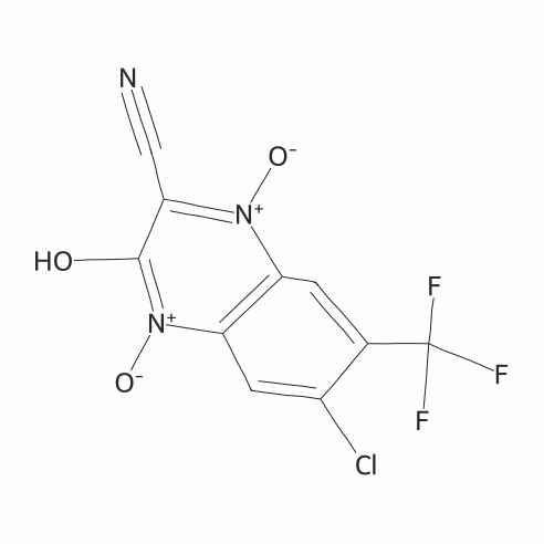 N#Cc1c(O)[n+]([O-])c2cc(Cl)c(C(F)(F)F)cc2[n+]1[O-]